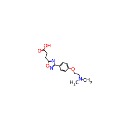 CN(C)CCOc1ccc(-c2noc(CCC(=O)O)n2)cc1